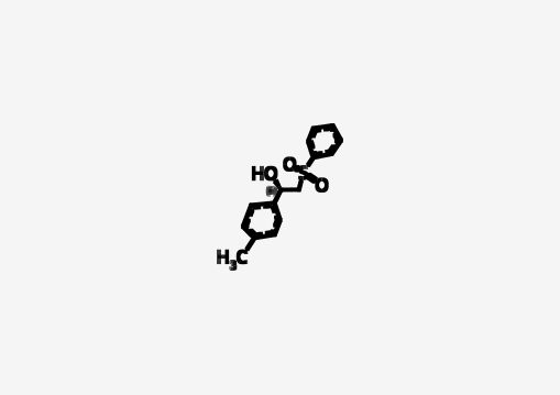 Cc1ccc([C@@H](O)CS(=O)(=O)c2ccccc2)cc1